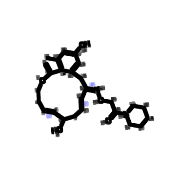 C=C1OCC/C=C/C(O)C/C=C/C(=N\OCC(=O)N2CCCCC2)Cc2cc(O)cc(C)c21